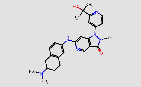 CC(C)n1c(=O)c2cnc(Nc3ccc4c(c3)CCC(N(C)C)C4)cc2n1-c1ccnc(C(C)(C)O)c1